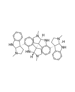 CN1CC[C@]2(c3cccc4c3N[C@H]3N(C)CCC43[C@]34CCN(C)[C@H]3Nc3c([C@]56CCN(C)[C@H]5Nc5ccccc56)cccc34)c3ccccc3NC12